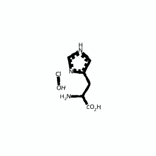 NC(Cc1c[nH]cn1)C(=O)O.OCl